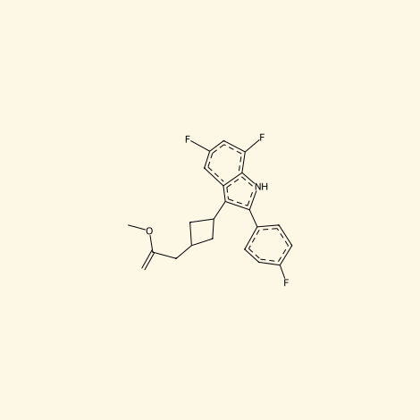 C=C(CC1CC(c2c(-c3ccc(F)cc3)[nH]c3c(F)cc(F)cc23)C1)OC